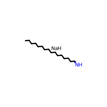 CCCCCCCCCCCCCCCC=N.[NaH]